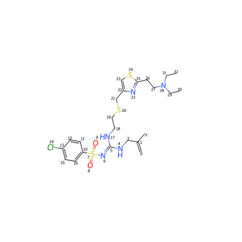 C=C(C)CNC(=NS(=O)(=O)c1ccc(Cl)cc1)NCCSCc1csc(CCN(CC)CC)n1